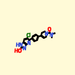 CN(C)C(=O)N1CC=C(c2ccc(-c3nc4nc(O)[nH]c4cc3Cl)cc2)CC1